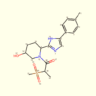 Cc1ccc(-c2cnc(C3CCC(O)CN3C(=O)C(C)S(C)(=O)=O)[nH]2)cc1